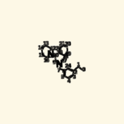 CCc1cccc(CN(CCN2CCCCC2)Cc2ccccc2)c1